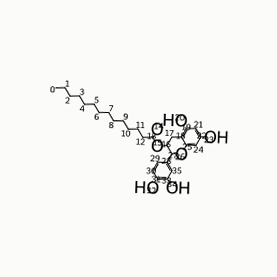 CCCCCCCCCCCCCC(=O)OC1Cc2c(O)cc(O)cc2OC1c1ccc(O)c(O)c1